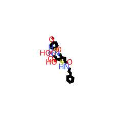 COc1ccc(S(=O)(=O)N2Cc3cc(C(=O)NCCCc4ccccc4)sc3C(O)C2C(=O)NO)cc1